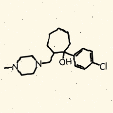 CN1CCN(CC2CCCCCC2(O)c2ccc(Cl)cc2)CC1